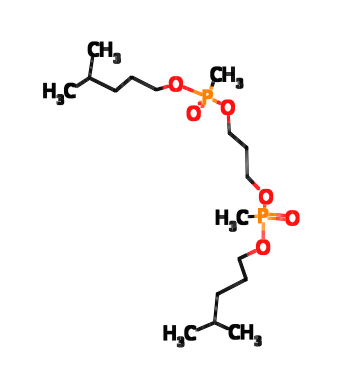 CC(C)CCCOP(C)(=O)OCCCOP(C)(=O)OCCCC(C)C